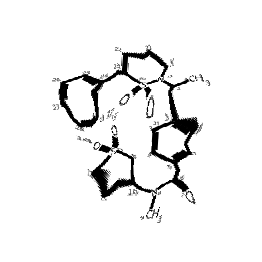 CC(c1ccc(C(=O)N(C)C2CCS(=O)(=O)C2)cc1)N1CCCC(c2ccccc2)S1(=O)=O